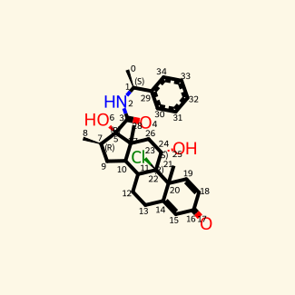 C[C@H](NC(=O)[C@@]1(O)[C@H](C)CC2C3CCC4=CC(=O)C=CC4(C)[C@@]3(Cl)[C@@H](O)CC21C)c1ccccc1